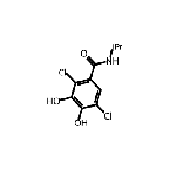 CC(C)NC(=O)c1cc(Cl)c(O)c(O)c1Cl